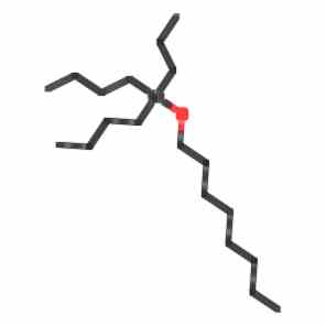 CCCCCCCC[O][Sn]([CH2]CC)([CH2]CCC)[CH2]CCC